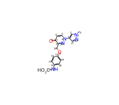 Cn1cc(-n2ccc(=O)c(COc3ccc(NC(=O)O)cc3)n2)cn1